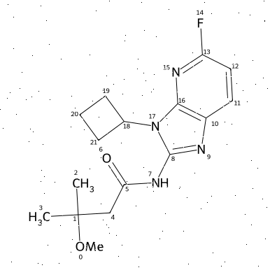 COC(C)(C)CC(=O)Nc1nc2ccc(F)nc2n1C1CCC1